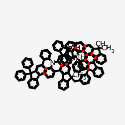 CC1(C)c2ccccc2-c2cc(N(c3ccccc3-c3ccc4c(c3)C(c3ccccc3)(c3ccccc3)c3ccccc3-4)c3ccccc3-c3cccc4c3-c3ccccc3C4(C)Cc3cccc(C4(c5ccccc5)c5ccccc5-c5ccc(-c6ccccc6N(c6ccccc6-c6cccc7c6-c6ccccc6C7(C)C)c6cccc7c6C(C)(C)c6ccccc6-7)cc54)c3)ccc21